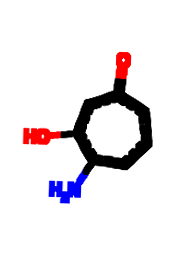 Nc1cccc(=O)cc1O